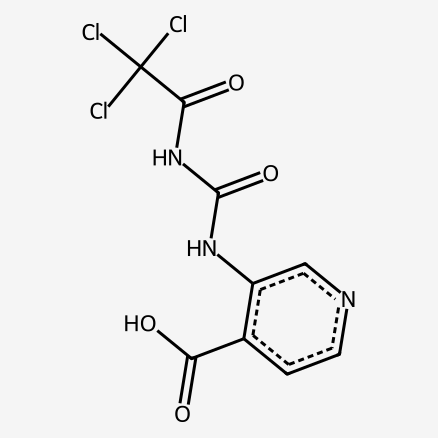 O=C(NC(=O)C(Cl)(Cl)Cl)Nc1cnccc1C(=O)O